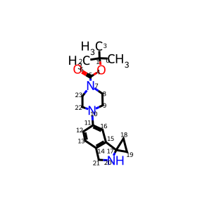 CC(C)(C)OC(=O)N1CCN(c2ccc3c(c2)C2(CC2)NC3)CC1